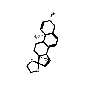 C[C@]12C=C[C@H](O)CC1=CC=C1C2CC[C@@]2(C)C1C=CC21OCCO1